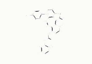 CN1C=CC(NC(=O)Cc2cc(F)ccc2Cl)=c2cnc3c4c([nH]c(=O)c-4c21)=CCN3c1ccc(F)cc1